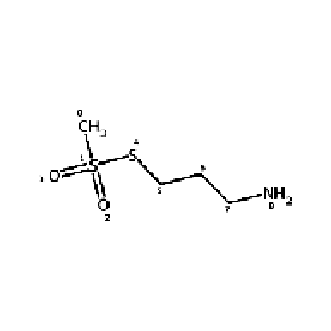 CS(=O)(=O)SCCCN